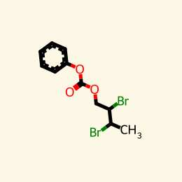 CC(Br)C(Br)COC(=O)Oc1ccccc1